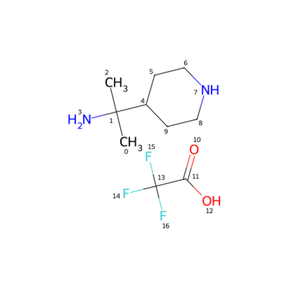 CC(C)(N)C1CCNCC1.O=C(O)C(F)(F)F